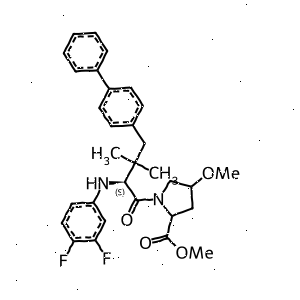 COC(=O)C1CC(OC)CN1C(=O)[C@@H](Nc1ccc(F)c(F)c1)C(C)(C)Cc1ccc(-c2ccccc2)cc1